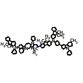 C/C(=C\c1c(C)c2c(n1-c1ccccc1)C=CC(C1=CCC(N(c3ccccc3)c3ccc4c(c3)C(C)(C)c3ccccc3-4)C3=C1C=CCC3)NC2)c1ccc2c(c1)C(C)(C)c1cc(N(c3ccc(-c4ccc5c(c4)c4c(n5-c5ccccc5)C=CC(C)C4)cc3)c3ccc4c(c3)C(C)(C)C3=C4CCC=C3)ccc1-2